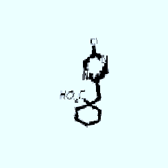 O=C(O)C1(Cc2cnc(Cl)cn2)CCCCC1